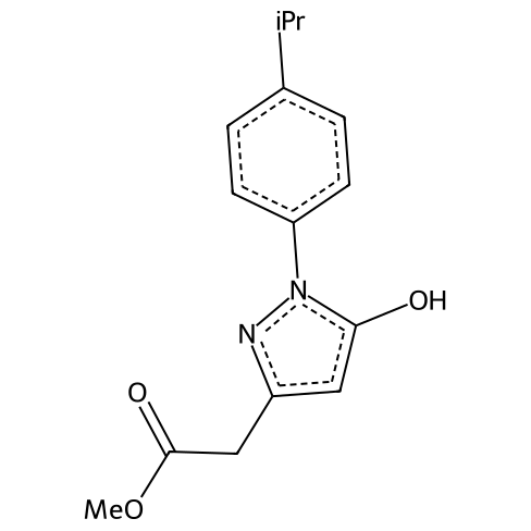 COC(=O)Cc1cc(O)n(-c2ccc(C(C)C)cc2)n1